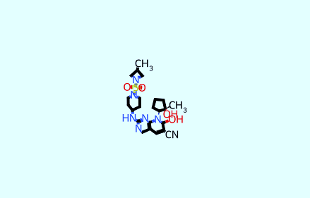 CC1CN(S(=O)(=O)N2CCC(Nc3ncc4c(n3)N([C@@H]3CCC[C@@]3(C)O)C(O)C(C#N)=C4)CC2)C1